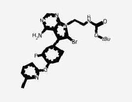 Cc1cccc(Oc2ccc(-c3c(Br)n(CCNC(=O)OC(C)(C)C)c4ncnc(N)c34)cc2F)n1